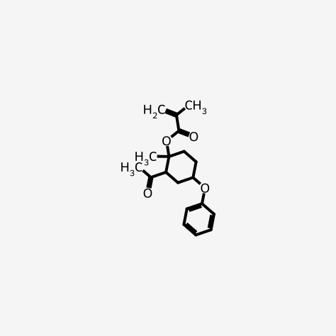 C=C(C)C(=O)OC1(C)CCC(Oc2ccccc2)CC1C(C)=O